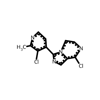 Cc1nccc(-c2ncc3c(Cl)nccn23)c1Cl